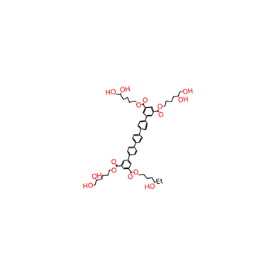 CCC(O)CCCCOC(=O)c1cc(C(=O)OCCCCC(O)CO)cc(-c2ccc(-c3ccc(-c4ccc(-c5cc(C(=O)OCCCCC(O)CO)cc(C(=O)OCCCCC(O)CO)c5)cc4)cc3)cc2)c1